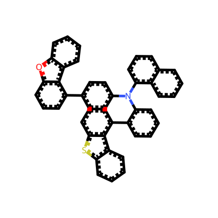 c1ccc(N(c2ccc(-c3cccc4oc5ccccc5c34)cc2)c2cccc3ccccc23)c(-c2cccc3sc4ccccc4c23)c1